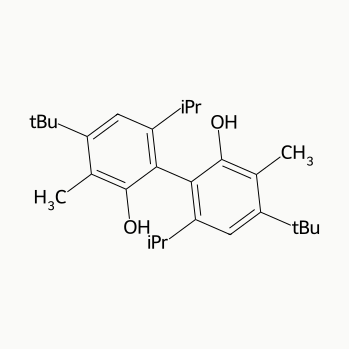 Cc1c(C(C)(C)C)cc(C(C)C)c(-c2c(C(C)C)cc(C(C)(C)C)c(C)c2O)c1O